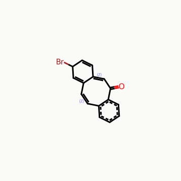 O=C1/C=C2/C=CC(Br)C=C2/C=C\c2ccccc21